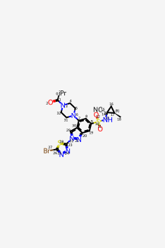 CC(C)C(=O)N1CCN(c2cc(S(=O)(=O)N[C@@]3(C#N)C[C@H]3C)cc3nn(-c4nnc(Br)s4)cc23)CC1